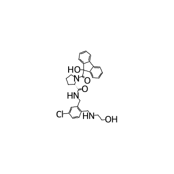 O=C(NCc1cc(Cl)ccc1CNCCO)[C@@H]1CCCN1C(=O)C1(O)c2ccccc2-c2ccccc21